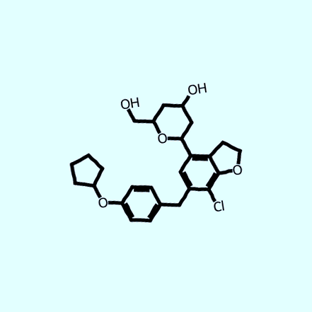 OCC1CC(O)CC(c2cc(Cc3ccc(OC4CCCC4)cc3)c(Cl)c3c2CCO3)O1